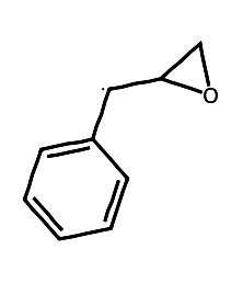 [CH](c1ccccc1)C1CO1